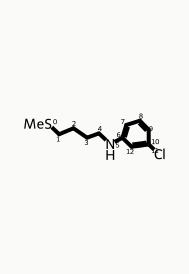 CSCCCCNc1cccc(Cl)c1